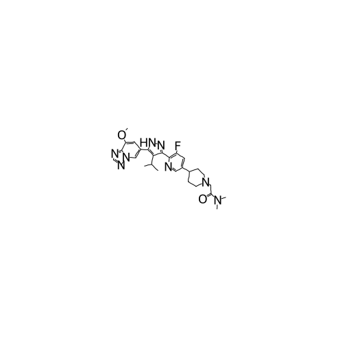 COc1cc(-c2[nH]nc(-c3ncc(C4CCN(CC(=O)N(C)C)CC4)cc3F)c2C(C)C)cn2ncnc12